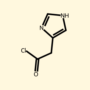 O=C(Cl)Cc1c[nH]cn1